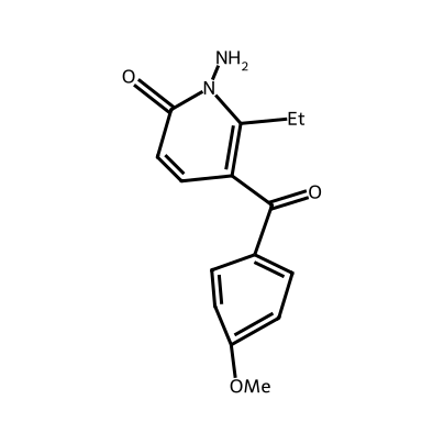 CCc1c(C(=O)c2ccc(OC)cc2)ccc(=O)n1N